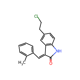 Cc1ccccc1C=C1C(=O)Nc2ccc(CCCl)cc21